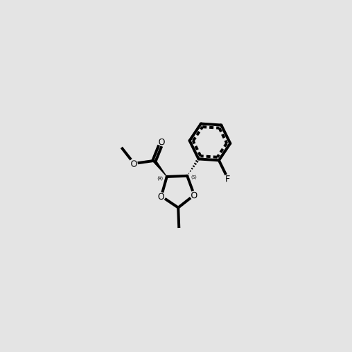 COC(=O)[C@@H]1OC(C)O[C@H]1c1ccccc1F